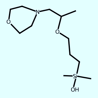 CC(CN1CCOCC1)OCCC[Si](C)(C)O